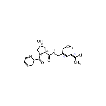 CC/C(=C\C=C(/C)Cl)CNC(=O)[C@@H]1C[C@@H](O)CN1C(=O)C1CC=CC=N1